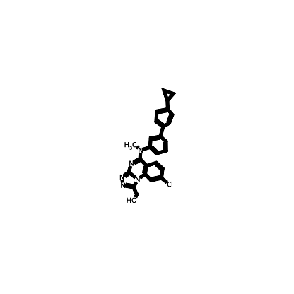 CN(c1cccc(-c2ccc(C3CC3)cc2)c1)c1nc2nnc(CO)n2c2cc(Cl)ccc12